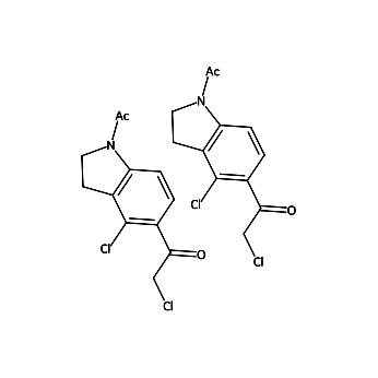 CC(=O)N1CCc2c1ccc(C(=O)CCl)c2Cl.CC(=O)N1CCc2c1ccc(C(=O)CCl)c2Cl